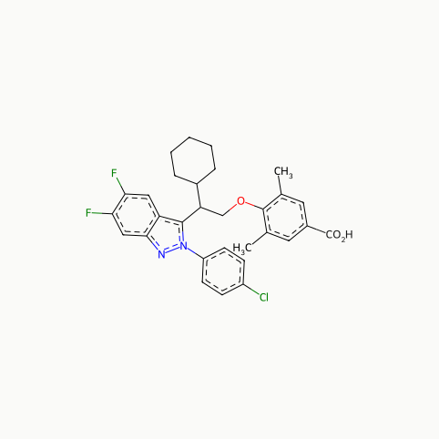 Cc1cc(C(=O)O)cc(C)c1OCC(c1c2cc(F)c(F)cc2nn1-c1ccc(Cl)cc1)C1CCCCC1